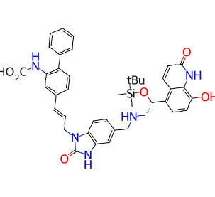 CC(C)(C)[Si](C)(C)O[C@@H](CNCc1ccc2c(c1)[nH]c(=O)n2CC=Cc1ccc(-c2ccccc2)c(NC(=O)O)c1)c1ccc(O)c2[nH]c(=O)ccc12